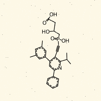 Cc1cc(C)cc(-c2cc(-c3ccccc3)nc(C(C)C)c2C#CP(=O)(O)CC(O)CC(=O)O)c1